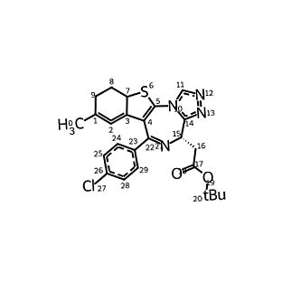 CC1=C=C2C3=C(SC2CC1)n1cnnc1[C@H](CC(=O)OC(C)(C)C)N=C3c1ccc(Cl)cc1